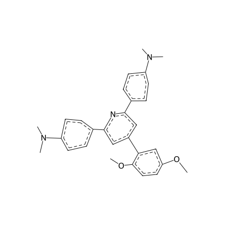 COc1ccc(OC)c(-c2cc(-c3ccc(N(C)C)cc3)nc(-c3ccc(N(C)C)cc3)c2)c1